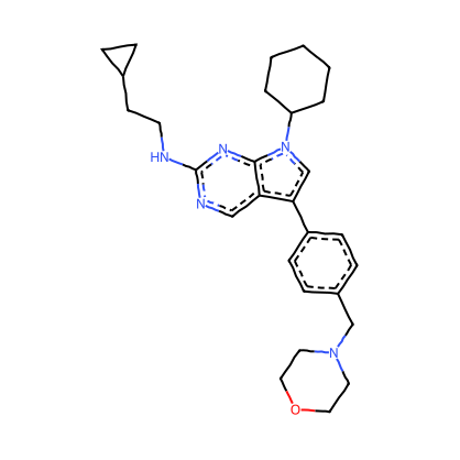 c1cc(-c2cn(C3CCCCC3)c3nc(NCCC4CC4)ncc23)ccc1CN1CCOCC1